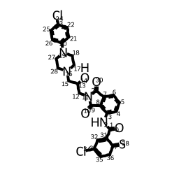 O=C(Nc1cccc2c1C(=O)N(CC(O)CN1CCN(c3ccc(Cl)cc3)CC1)C2=O)C1=CC(Cl)=CCC1=S